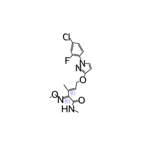 CNC(=O)C(=N/OC)/C(C)=C/COc1ccn(-c2ccc(Cl)cc2F)n1